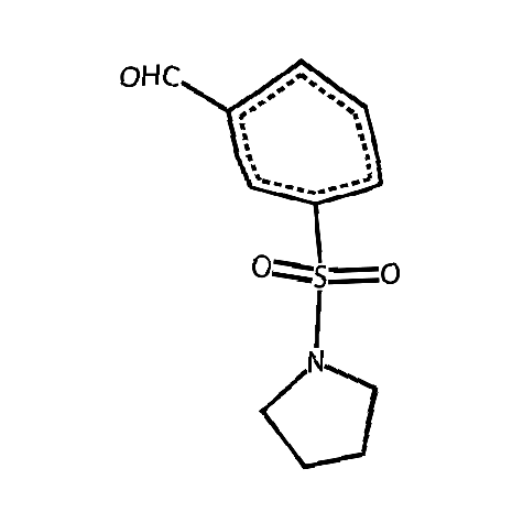 O=Cc1cccc(S(=O)(=O)N2CCCC2)c1